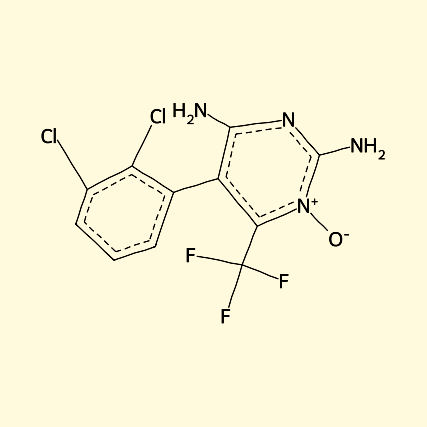 Nc1nc(N)[n+]([O-])c(C(F)(F)F)c1-c1cccc(Cl)c1Cl